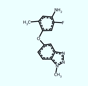 Cc1cc(N)c(F)cc1Oc1ccc2c(c1)nnn2C